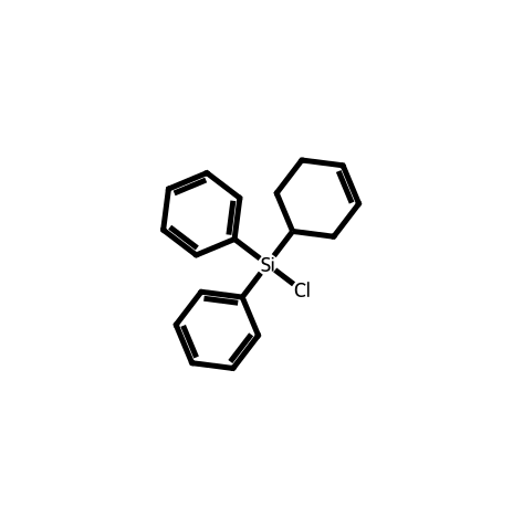 Cl[Si](c1ccccc1)(c1ccccc1)C1CC=CCC1